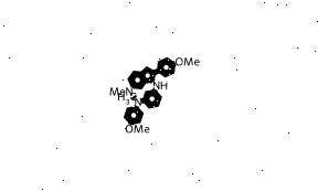 CNc1ccc2c(c1)C(Nc1cccc(N(C)c3ccc(OC)cc3)c1)C(c1ccc(OC)cc1)C2